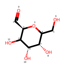 O=C[C@H]1OC(CO)[C@H](O)[C@H](O)C1O